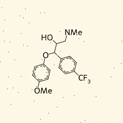 CNCC(O)C(Oc1ccc(OC)cc1)c1ccc(C(F)(F)F)cc1